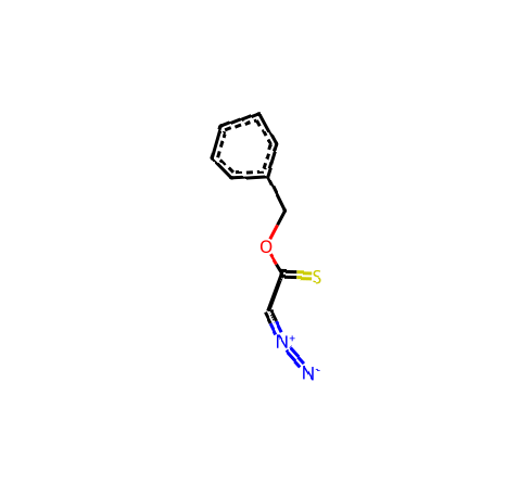 [N-]=[N+]=CC(=S)OCc1ccccc1